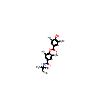 CC(C)(C)CC(C)(C)NC(=O)c1cc(C(C)(C)C)c(OC(=O)c2cc(C(C)(C)C)c(O)c(C(C)(C)C)c2)c(C(C)(C)C)c1